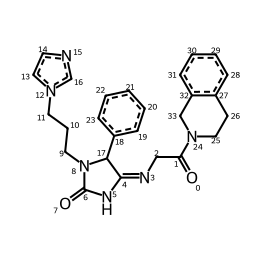 O=C(CN=C1NC(=O)N(CCCn2ccnc2)C1c1ccccc1)N1CCc2ccccc2C1